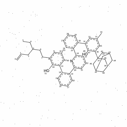 C=CCC(CC)CCc1cc(C)cc(-c2ccccc2-c2cccc(-c3ccccc3-c3cc(C)cc(C45CC6CC(CC(C6)C4)C5)c3O)n2)c1O